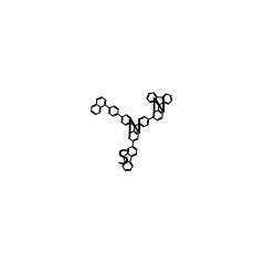 c1cc(-c2ccc(N(c3ccc(-c4ccc(-c5cccc6ccccc56)cc4)cc3)c3ccc(-c4ccc5c(c4)sc4ccccc45)cc3)cc2)cc(-n2c3ccccc3c3ccccc32)c1